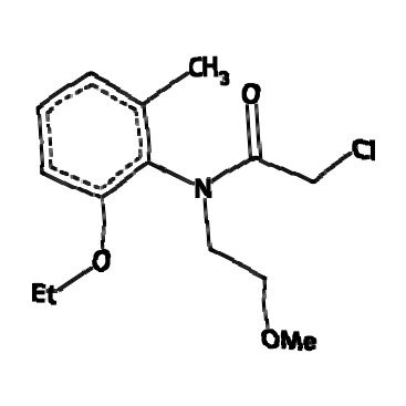 CCOc1cccc(C)c1N(CCOC)C(=O)CCl